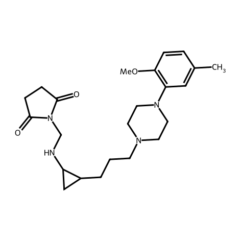 COc1ccc(C)cc1N1CCN(CCCC2CC2NCN2C(=O)CCC2=O)CC1